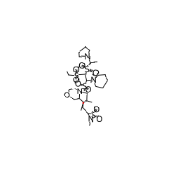 CCC(C)C[N+]1(S(=O)(=O)C(C(S(=O)(=O)CC)S(=O)(=O)C(C)N2CCCC2)N2CCCCC2)CCOCC1CCC1N(C)S1(=O)=O